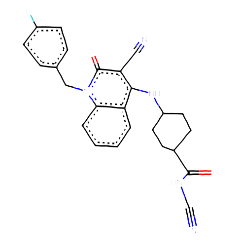 N#CNC(=O)C1CCC(Nc2c(C#N)c(=O)n(Cc3ccc(F)cc3)c3ccccc23)CC1